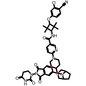 CC1(C)C(NC(=O)c2ccc(N3CCC(CN4C5CCC4CN(c4ccc6c(c4)C(=O)N(N4CCC(=O)NC4=O)C6=O)C5)CC3)nc2)C(C)(C)C1Oc1ccc(C#N)c(Cl)c1